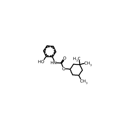 CC1CC(OC(=O)Nc2ccccc2O)CC(C)(C)C1